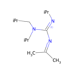 CC(C)=N/C(=N/C(C)C)N(CC(C)C)C(C)C